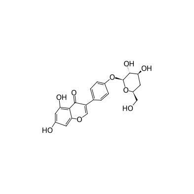 O=c1c(-c2ccc(O[C@@H]3O[C@H](CO)C[C@H](O)[C@H]3O)cc2)coc2cc(O)cc(O)c12